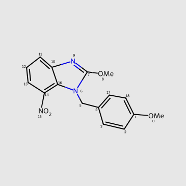 COc1ccc(Cn2c(OC)nc3cccc([N+](=O)[O-])c32)cc1